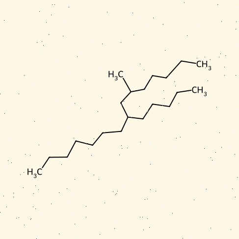 CCCCCCCC(CCCCC)CC(C)CCCCC